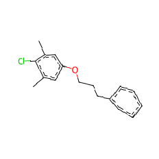 Cc1cc(OCCCc2ccccc2)cc(C)c1Cl